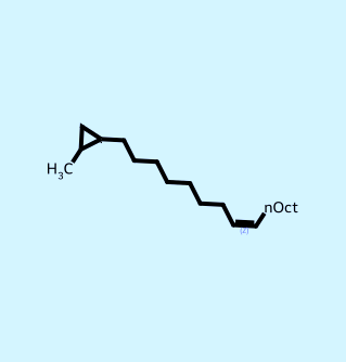 CCCCCCCC/C=C\CCCCCCC[C]1CC1C